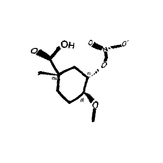 CO[C@H]1CC[C@](C)(C(=O)O)C[C@@H]1O[N+](=O)[O-]